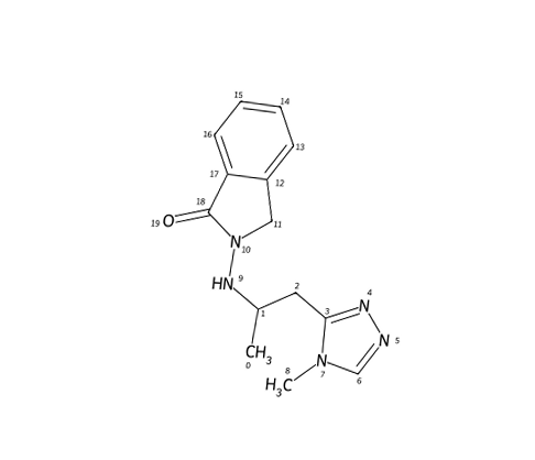 CC(Cc1nncn1C)NN1Cc2ccccc2C1=O